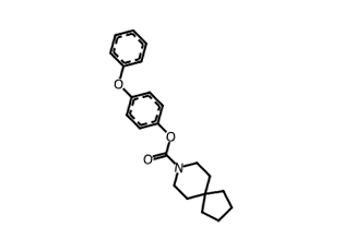 O=C(Oc1ccc(Oc2ccccc2)cc1)N1CCC2(CCCC2)CC1